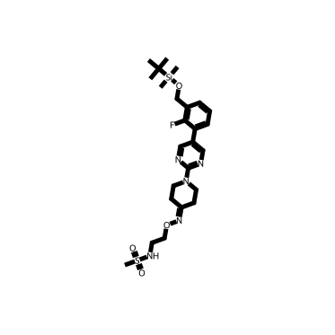 CC(C)(C)[Si](C)(C)OCc1cccc(-c2cnc(N3CCC(=NOCCNS(C)(=O)=O)CC3)nc2)c1F